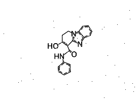 O=C(Nc1ccccc1)C1=C(O)CCn2c1nc1ccccc12